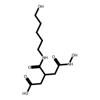 O=C(O)CC(CC(=O)NO)C(=O)NCCCCCO